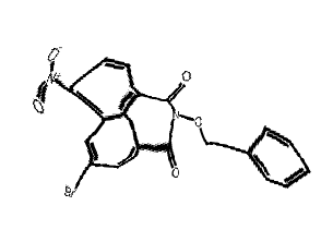 O=C1c2ccc([N+](=O)[O-])c3cc(Br)cc(c23)C(=O)N1OCc1ccccc1